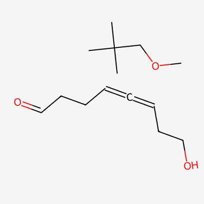 COCC(C)(C)C.O=CCCC=C=CCCO